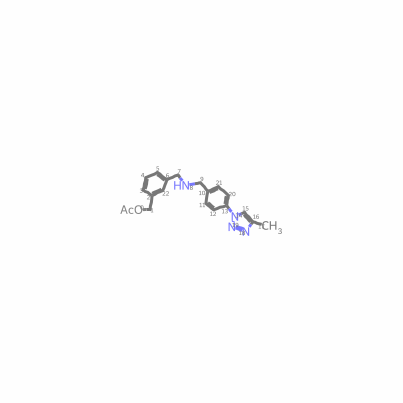 CC(=O)OCc1cccc(CNCc2ccc(-n3cc(C)nn3)cc2)c1